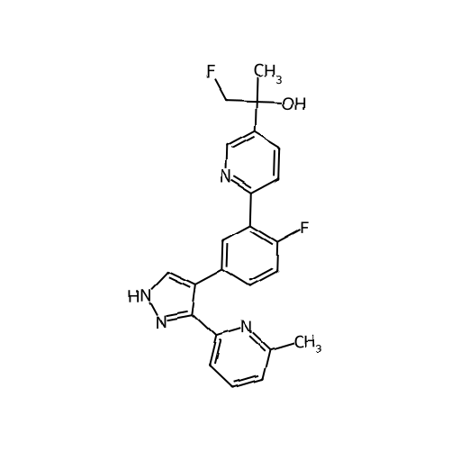 Cc1cccc(-c2n[nH]cc2-c2ccc(F)c(-c3ccc(C(C)(O)CF)cn3)c2)n1